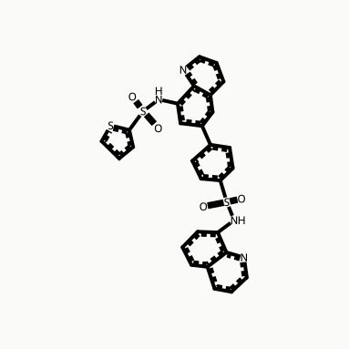 O=S(=O)(Nc1cccc2cccnc12)c1ccc(-c2cc(NS(=O)(=O)c3cccs3)c3ncccc3c2)cc1